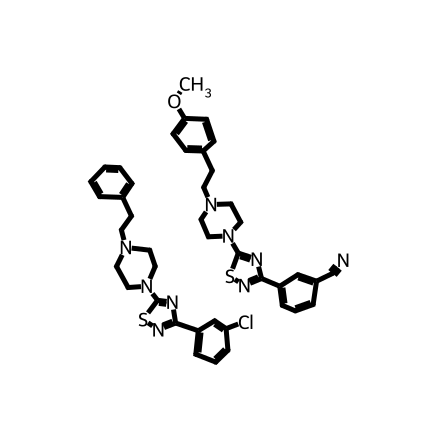 COc1ccc(CCN2CCN(c3nc(-c4cccc(C#N)c4)ns3)CC2)cc1.Clc1cccc(-c2nsc(N3CCN(CCc4ccccc4)CC3)n2)c1